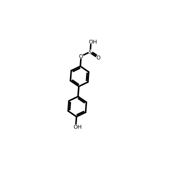 O=S(O)Oc1ccc(-c2ccc(O)cc2)cc1